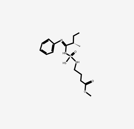 CC[C@H](C)C(=Nc1ccccc1)NP(=O)(S)NCCCC(=O)OC